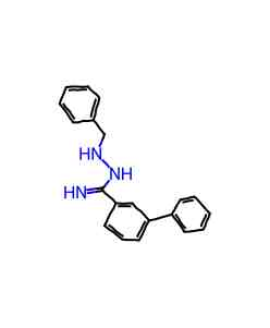 N=C(NNCc1ccccc1)c1cccc(-c2ccccc2)c1